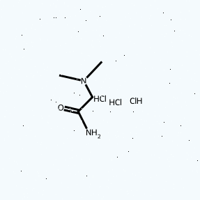 CN(C)CC(N)=O.Cl.Cl.Cl